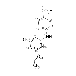 O=C(O)c1ccc(Nc2cc(Cl)nc(OCC(F)(F)F)n2)cc1